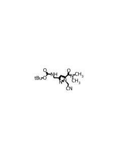 CN(C)C(=O)c1cc(CNC(=O)OC(C)(C)C)nn1CC#N